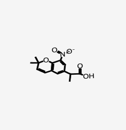 CC(C(=O)O)c1cc2c(c([N+](=O)[O-])c1)OC(C)(C)C=C2